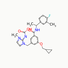 Cc1cc(C(C)NC(=O)c2cc(Cn3ccn(C)/c3=N\C(=O)O)cc(OCC3CC3)c2)ccc1F